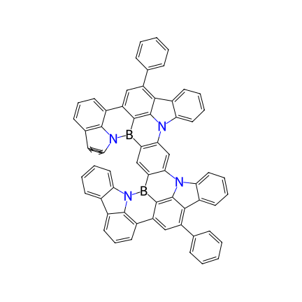 c1ccc(-c2cc3c4c5c2c2ccccc2n5-c2cc5c(cc2B4n2c4ccccc4c4cccc-3c42)B2c3c(cc(-c4ccccc4)c4c6ccccc6n-5c34)-c3cccc4c5ccccc5n2c34)cc1